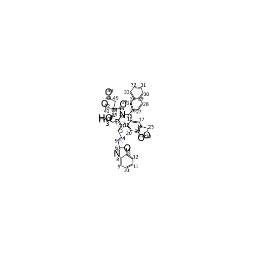 C[C@H]([C@H](C/C=C/c1nc2ccccc2o1)c1ccc2c(c1)OOC2)N(Cc1ccc2ccccc2c1)C(=O)[C@@]1(CO)COC(=O)C1